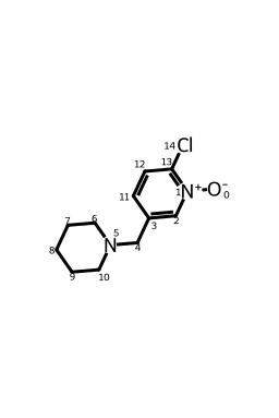 [O-][n+]1cc(CN2CCCCC2)ccc1Cl